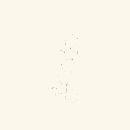 O=C1NC2(CCCCC2)C(=O)N1CC(O)CN1C(=O)NC2(CCCCC2)C1=O